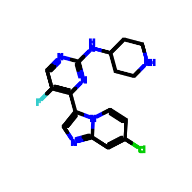 Fc1cnc(NC2CCNCC2)nc1-c1cnc2cc(Cl)ccn12